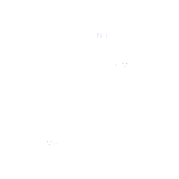 COCCS(=O)(=O)c1ccc(N)c(OC)c1